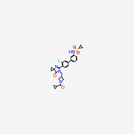 O=C(C1CC1)N1CC(CN2C(=O)C3(CC3)N=C2c2ccc(-c3cccc(NS(=O)(=O)C4CC4)c3)cc2F)C1